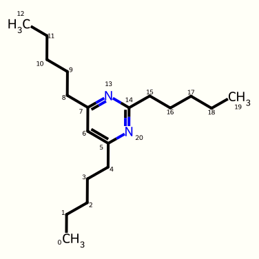 CCCCCc1cc(CCCCC)nc(CCCCC)n1